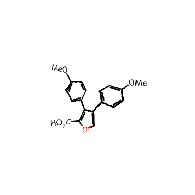 COc1ccc(-c2coc(C(=O)O)c2-c2ccc(OC)cc2)cc1